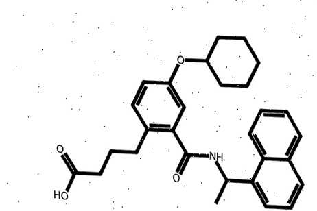 CC(NC(=O)c1cc(OC2CCCCC2)ccc1CCCC(=O)O)c1cccc2ccccc12